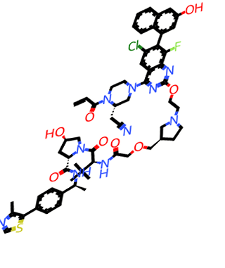 C=CC(=O)N1CCN(c2nc(OCCN3CC[C@@H](COCC(=O)N[C@H](C(=O)N4C[C@H](O)C[C@H]4C(=O)N[C@@H](C)c4ccc(-c5scnc5C)cc4)C(C)(C)C)C3)nc3c(F)c(-c4cc(O)cc5ccccc45)c(Cl)cc23)C[C@@H]1CC#N